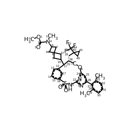 COC(=O)N(C)C1CC2(CC(C3c4cccc(c4)S(=O)(=O)Nc4nc(cc(-c5c(C)cccc5C)n4)OC[C@H]3CC3(C(F)(F)F)CC3)C2)C1